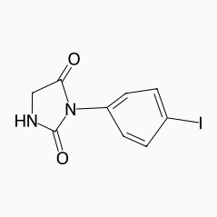 O=C1CNC(=O)N1c1ccc(I)cc1